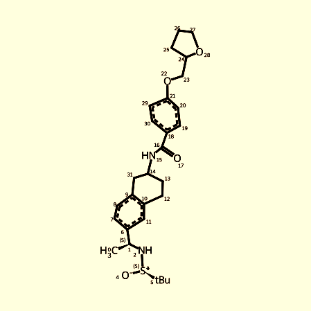 C[C@H](N[S@+]([O-])C(C)(C)C)c1ccc2c(c1)CCC(NC(=O)c1ccc(OCC3CCCO3)cc1)C2